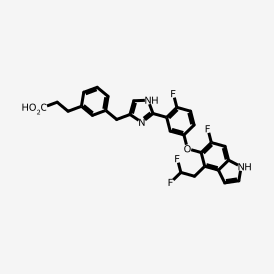 O=C(O)CCc1cccc(Cc2c[nH]c(-c3cc(Oc4c(F)cc5[nH]ccc5c4CC(F)F)ccc3F)n2)c1